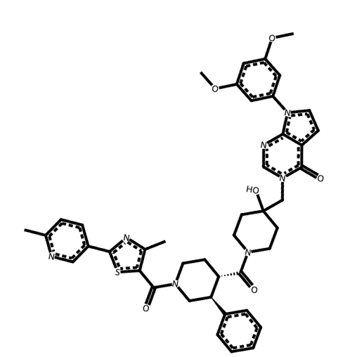 COc1cc(OC)cc(-n2ccc3c(=O)n(CC4(O)CCN(C(=O)[C@H]5CCN(C(=O)c6sc(-c7ccc(C)nc7)nc6C)C[C@@H]5c5ccccc5)CC4)cnc32)c1